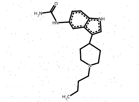 CCCCN1CCC(c2c[nH]c3ccc(NC(N)=O)cc23)CC1